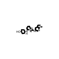 Cn1ncc2cc(Nc3nc4cccc(N[C@H]5CC[C@@H](O)CC5)n4n3)cnc21